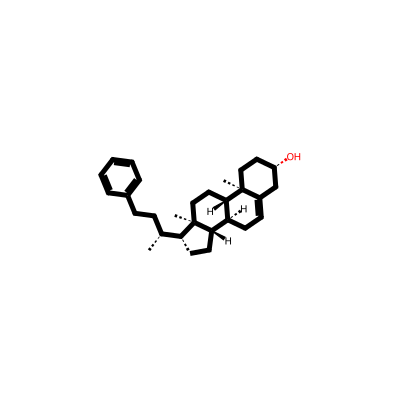 C[C@H](CCc1ccccc1)[C@H]1CC[C@H]2[C@@H]3CC=C4C[C@@H](O)CC[C@]4(C)[C@H]3CC[C@]12C